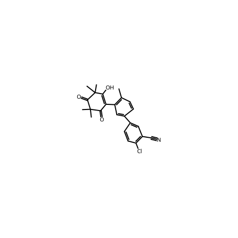 Cc1ccc(-c2ccc(Cl)c(C#N)c2)cc1C1=C(O)C(C)(C)C(=O)C(C)(C)C1=O